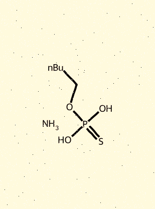 CCCCCOP(O)(O)=S.N